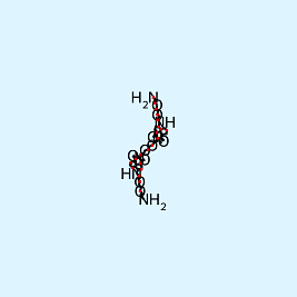 NCCOCCOCCNC1=CC=C2C(=O)N(CCOCCOCCN3C(=O)c4cccc5c(NCCOCCOCCN)ccc(c45)C3=O)C(=O)C3CCCC1C23